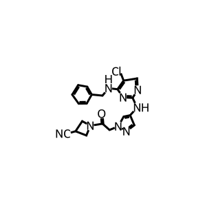 N#CC1CN(C(=O)Cn2cc(Nc3ncc(Cl)c(NCc4ccccc4)n3)cn2)C1